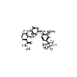 CCNC(=O)c1ccccc1Nc1nc(Nc2ccc(C(CC)(CC)P(=O)(O)O)cc2OC)ncc1C(F)(F)F